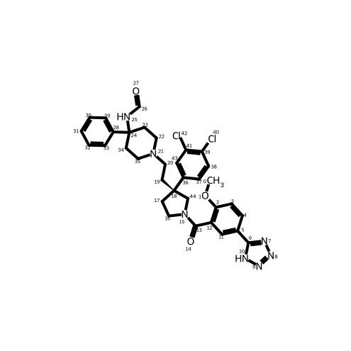 COc1ccc(-c2nnn[nH]2)cc1C(=O)N1CC[C@](CCN2CCC(NC=O)(c3ccccc3)CC2)(c2ccc(Cl)c(Cl)c2)C1